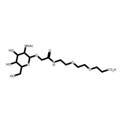 CC(=O)NC1C(OCC(=O)NCCOCCOCCC(=O)O)OC(CO)C(O)C1O